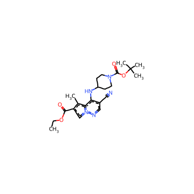 CCOC(=O)c1cn2ncc(C#N)c(NC3CCN(C(=O)OC(C)(C)C)CC3)c2c1C